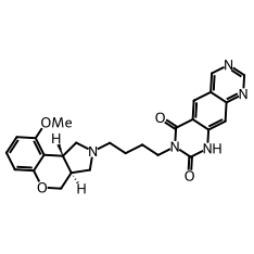 COc1cccc2c1[C@@H]1CN(CCCCn3c(=O)[nH]c4cc5ncncc5cc4c3=O)C[C@H]1CO2